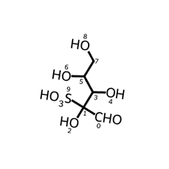 O=CC(O)(C(O)C(O)CO)S(=O)(=O)O